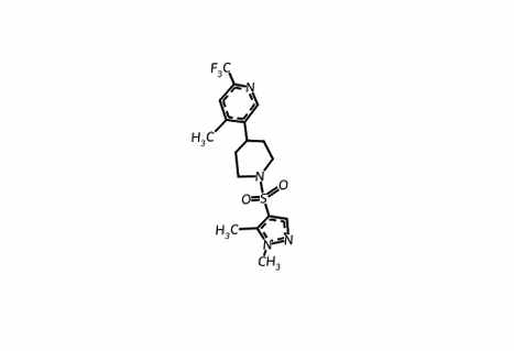 Cc1cc(C(F)(F)F)ncc1C1CCN(S(=O)(=O)c2cnn(C)c2C)CC1